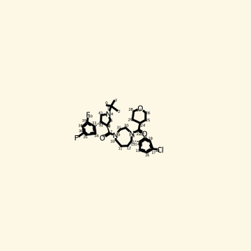 CC(C)(C)N1C[C@@H](C(=O)N2CCC[C@@H](c3ccc(Cl)cc3)N(C(=O)C3CCOCC3)CC2)[C@H](c2ccc(F)cc2F)C1